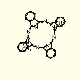 COn1c2nc3nc(nc4c5ccccc5c(nc5nc(nc1c1ccccc12)-c1ccccc1-5)n4C)-c1ccccc1-3